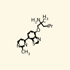 Cc1nccc(-c2ccc(OCC(C)(N)CC(C)C)c3ncsc23)n1